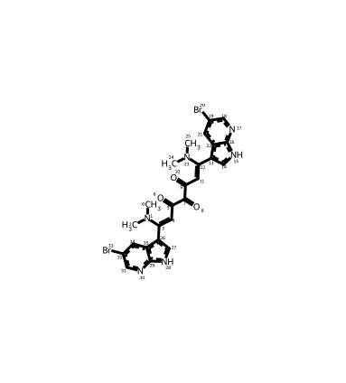 CN(C)C(=CC(=O)C(=O)C(=O)C=C(c1c[nH]c2ncc(Br)cc12)N(C)C)c1c[nH]c2ncc(Br)cc12